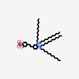 CCCCCCCCCCCCN(CCCCCCCCCCCC)c1ccc(C=Cc2ccc([N+](=O)[O-])c(F)c2)cc1N(CCCCCCCCCCCC)CCCCCCCCCCCC